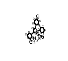 NS(=O)(=O)c1ccccc1-n1nc(-c2cccc(O)c2)cc1-c1ccc(Cl)cc1